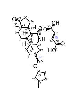 C[C@]12CC/C(=N\O[C@@H]3CCNC3)CC1NC(=O)[C@@H]1[C@@H]2CC[C@]2(C)C(=O)CC[C@@H]12.O=C(O)/C=C/C(=O)O